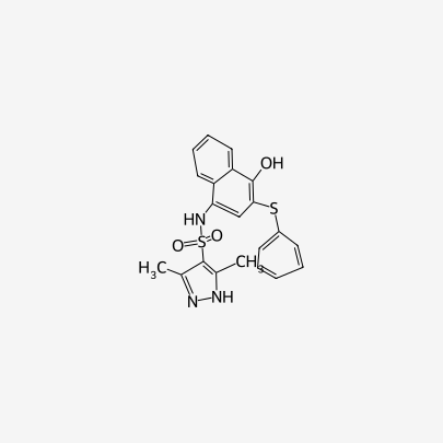 Cc1n[nH]c(C)c1S(=O)(=O)Nc1cc(Sc2ccccc2)c(O)c2ccccc12